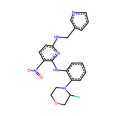 O=[N+]([O-])c1ccc(NCc2cccnc2)nc1Nc1ccccc1N1CCOCC1F